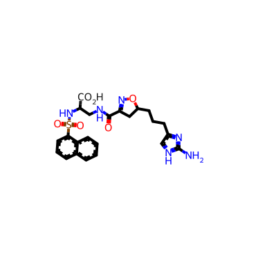 Nc1nc(CCCC2CC(C(=O)NCC(NS(=O)(=O)c3cccc4ccccc34)C(=O)O)=NO2)c[nH]1